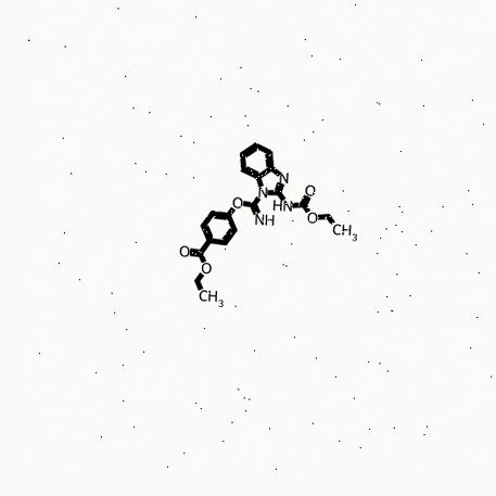 CCOC(=O)Nc1nc2ccccc2n1C(=N)Oc1ccc(C(=O)OCC)cc1